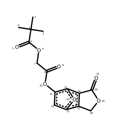 CC(C)(C)C(=O)OCC(=O)Oc1cc2oc1c1c2COC1=O